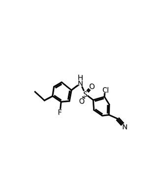 CCc1ccc(NS(=O)(=O)c2ccc(C#N)cc2Cl)cc1F